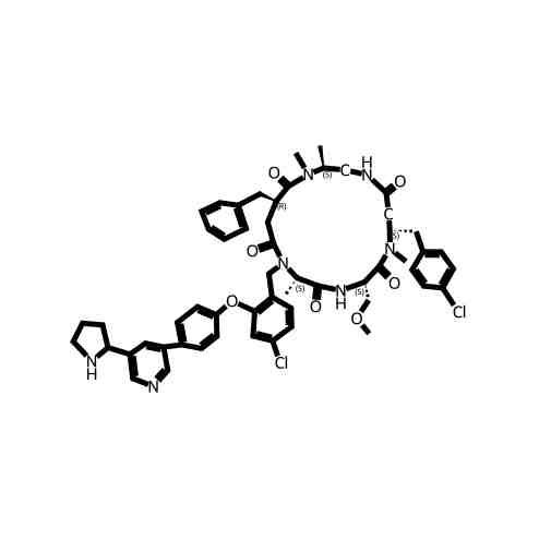 COC[C@@H]1NC(=O)[C@H](C)N(Cc2ccc(Cl)cc2Oc2ccc(-c3cncc(C4CCCN4)c3)cc2)C(=O)C[C@@H](Cc2ccccc2)C(=O)N(C)[C@@H](C)CNC(=O)C[C@H](Cc2ccc(Cl)cc2)N(C)C1=O